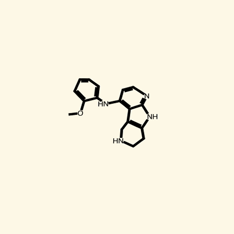 COc1ccccc1Nc1ccnc2[nH]c3c(c12)CNCC3